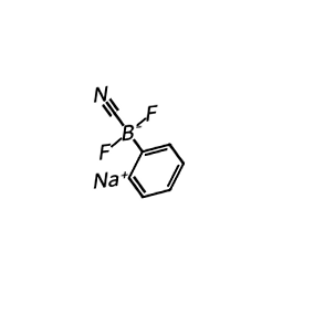 N#C[B-](F)(F)c1ccccc1.[Na+]